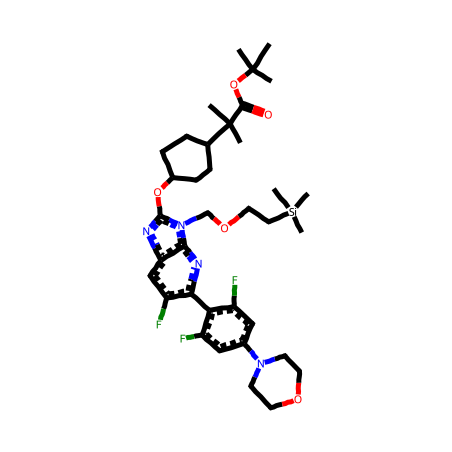 CC(C)(C)OC(=O)C(C)(C)C1CCC(Oc2nc3cc(F)c(-c4c(F)cc(N5CCOCC5)cc4F)nc3n2COCC[Si](C)(C)C)CC1